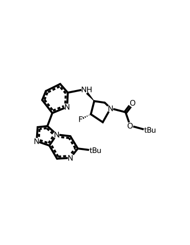 CC(C)(C)OC(=O)N1C[C@H](Nc2cccc(-c3cnc4cnc(C(C)(C)C)cn34)n2)[C@@H](F)C1